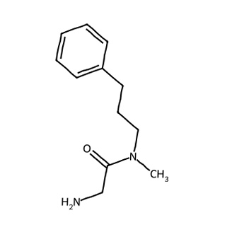 CN(CCCc1ccccc1)C(=O)CN